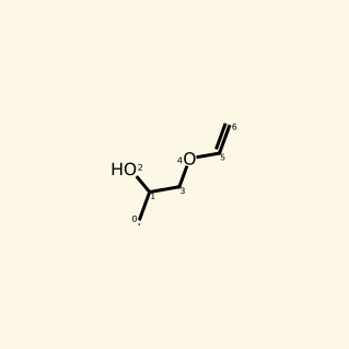 [CH2]C(O)COC=C